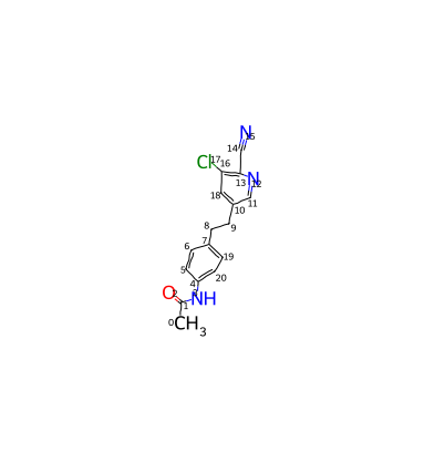 CC(=O)Nc1ccc(CCc2cnc(C#N)c(Cl)c2)cc1